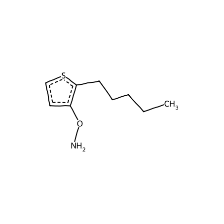 CCCCCc1sccc1ON